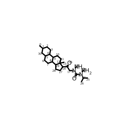 CC1CCC2C(CCC3C2CCC2(C)C(C(=O)CN(N)C(=O)N(N)C(C)C)CCC32)C1